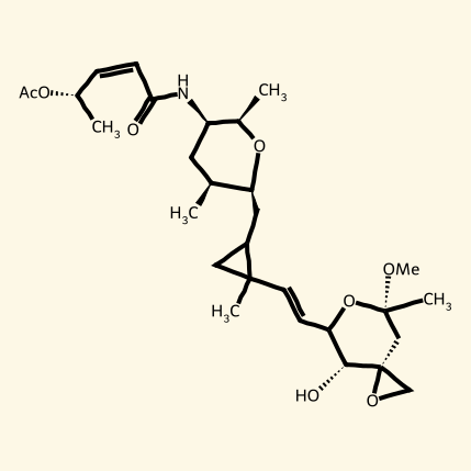 CO[C@]1(C)C[C@@]2(CO2)[C@H](O)C(/C=C/C2(C)CC2C[C@@H]2O[C@H](C)[C@H](NC(=O)/C=C\[C@H](C)OC(C)=O)C[C@@H]2C)O1